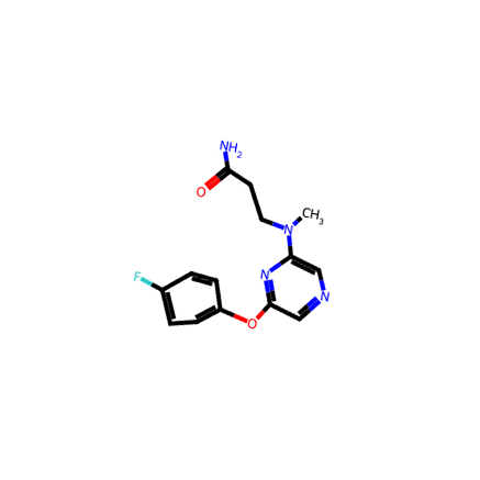 CN(CCC(N)=O)c1cncc(Oc2ccc(F)cc2)n1